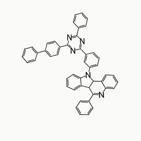 c1ccc(C2=Nc3ccccc3C3C2c2ccccc2N3c2cccc(-c3nc(-c4ccccc4)nc(-c4ccc(-c5ccccc5)cc4)n3)c2)cc1